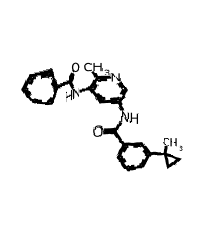 Cc1ncc(NC(=O)c2cccc(C3(C)CC3)c2)cc1NC(=O)c1ccccc1